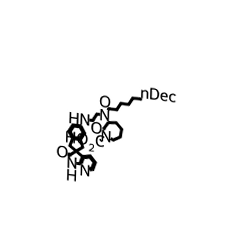 CCCCCCCCCCCCCCCC(=O)N(CC(=O)Nc1ccc2c(c1)CC1(C2)C(=O)Nc2ncccc21)C1CCCCN(C(=O)O)C1